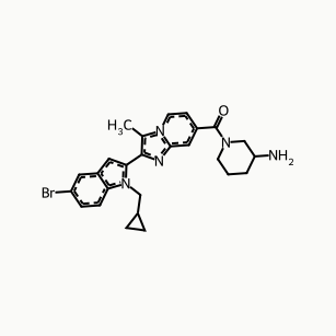 Cc1c(-c2cc3cc(Br)ccc3n2CC2CC2)nc2cc(C(=O)N3CCCC(N)C3)ccn12